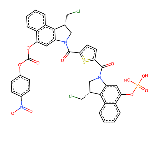 O=C(Oc1ccc([N+](=O)[O-])cc1)Oc1cc2c(c3ccccc13)[C@H](CCl)CN2C(=O)c1ccc(C(=O)N2C[C@@H](CCl)c3c2cc(OP(=O)(O)O)c2ccccc32)s1